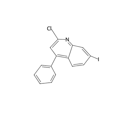 Clc1cc(-c2ccccc2)c2ccc(I)cc2n1